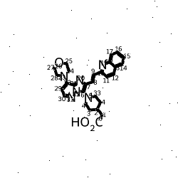 O=C(O)CC1CCN(c2c(/C=C/c3ccc4ccccc4n3)nc3c(N4CCOCC4)ccnn23)CC1